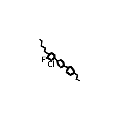 CCCCCc1ccc(-c2ccc(-c3ccc(CCC)cc3)cc2)c(Cl)c1F